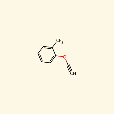 C#COc1ccccc1C(F)(F)F